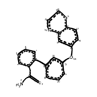 NC(=O)c1ccccc1-c1cccc(Oc2ccc3nccnc3c2)c1